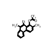 CCc1c(C)c2ccccc2c2ccc(C)c(OC(=O)C(F)(F)F)c12